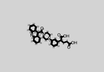 O=C(O)CCC(C(=O)O)c1cccc(N2CCN(C(=O)c3c4ccccc4nc4ccccc34)CC2)c1